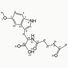 COc1ccc2[nH]cc(CC(NC(=O)CCSC(C)=O)C(=O)O)c2c1